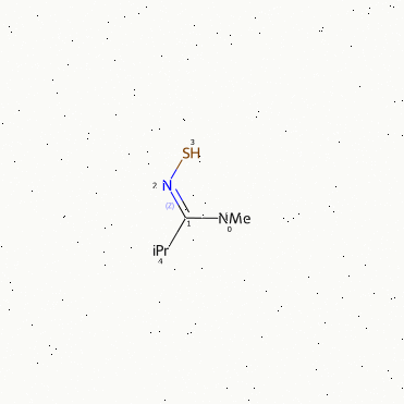 CN/C(=N\S)C(C)C